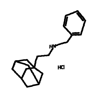 Cl.c1ccc(CNCCC23CC4CC(CC(C4)C2)C3)cc1